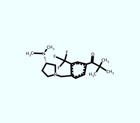 CN(C)[C@H]1CCN(Cc2ccc(C(=O)C(C)(C)C)cc2C(F)(F)F)C1